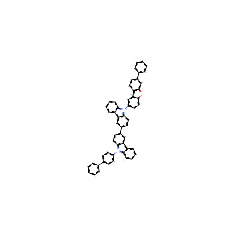 c1ccc(-c2ccc(-n3c4ccccc4c4cc(-c5ccc6c(c5)c5ccccc5n6-c5ccc6oc7cc(-c8ccccc8)ccc7c6c5)ccc43)cc2)cc1